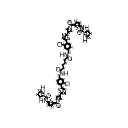 O=C(CCCCC(=O)NCc1ccc(-c2cnc(C3CN(C(=O)c4ccc(NC(=O)[C@@H]5CCCN5)s4)C3)s2)c(Cl)c1)NCc1ccc(-c2cnc(C3CN(C(=O)c4ccc(NC(=O)[C@@H]5CCCN5)s4)C3)s2)c(Cl)c1